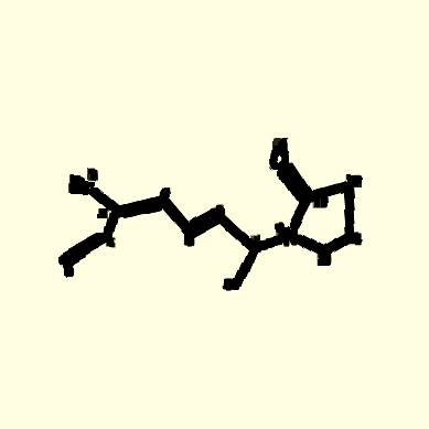 C=C/C(Br)=C\C=C\C(C)N1CCCC1=O